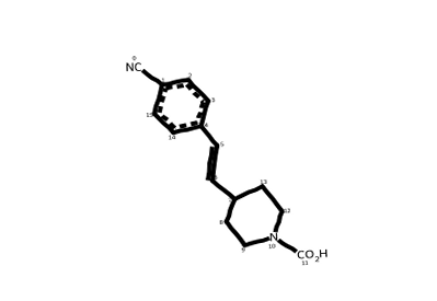 N#Cc1ccc(/C=C/C2CCN(C(=O)O)CC2)cc1